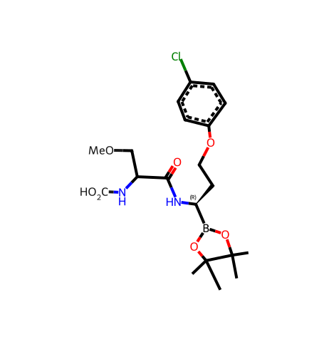 COCC(NC(=O)O)C(=O)N[C@@H](CCOc1ccc(Cl)cc1)B1OC(C)(C)C(C)(C)O1